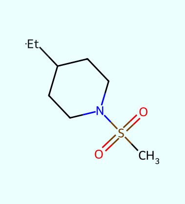 C[CH]C1CCN(S(C)(=O)=O)CC1